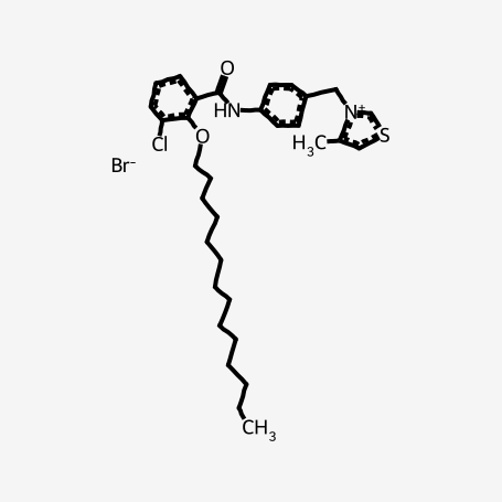 CCCCCCCCCCCCCCOc1c(Cl)cccc1C(=O)Nc1ccc(C[n+]2cscc2C)cc1.[Br-]